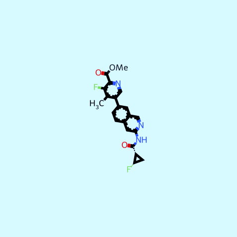 COC(=O)c1ncc(-c2ccc3cc(NC(=O)[C@@H]4C[C@@H]4F)ncc3c2)c(C)c1F